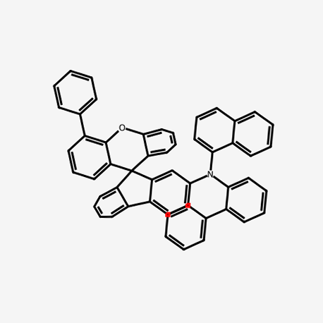 c1ccc(-c2ccccc2N(c2ccc3c(c2)C2(c4ccccc4Oc4c(-c5ccccc5)cccc42)c2ccccc2-3)c2cccc3ccccc23)cc1